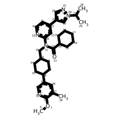 COc1ncc(C2CCC(CN(C(=O)C3CCCCC3)c3cc(-c4cnn(C(C)C)c4)ccn3)CC2)cc1C